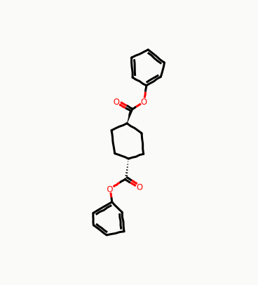 O=C(Oc1ccccc1)[C@H]1CC[C@H](C(=O)Oc2ccccc2)CC1